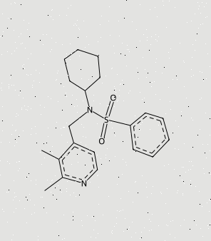 Cc1nccc(CN(C2CCCCC2)S(=O)(=O)c2ccccc2)c1C